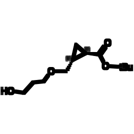 CC(C)(C)OC(=O)[C@@H]1C[C@H]1COCCCO